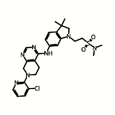 CN(C)S(=O)(=O)CCN1CC(C)(C)c2ccc(Nc3ncnc4c3CCN(c3ncccc3Cl)C4)cc21